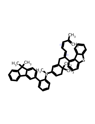 C=C(C)/C=C\C=C(/CC1=CC(N(C)c2ccccc2-c2ccc3c(c2)-c2ccccc2C3(C)C)=CCC1(C)C)c1cccc2sc3ccccc3c12